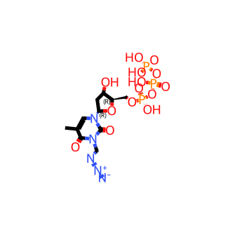 Cc1cn([C@H]2CC(O)[C@@H](COP(=O)(O)OP(=O)(O)OP(=O)(O)O)O2)c(=O)n(CN=[N+]=[N-])c1=O